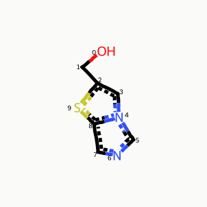 OCc1cn2cncc2s1